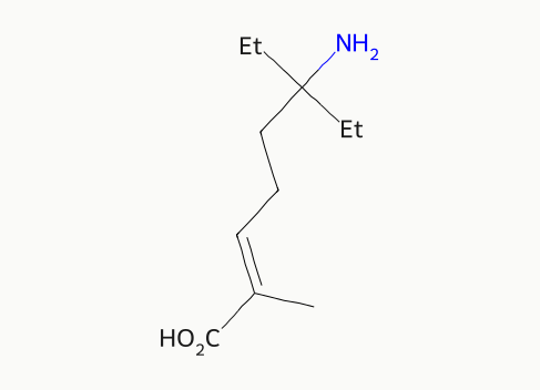 CCC(N)(CC)CCC=C(C)C(=O)O